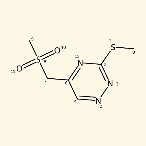 CSc1nncc(CS(C)(=O)=O)n1